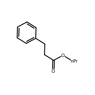 CCCOC(=O)CCc1ccccc1